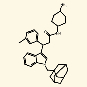 Cc1cccc(C(CC(=O)NC2CCC(N)CC2)c2cn(CC34CC5CC(CC(C5)C3)C4)c3ccccc23)c1